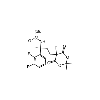 CC1(C)OC(=O)C(F)(CC[C@](C)(N[S@+]([O-])C(C)(C)C)c2cccc(F)c2F)C(=O)O1